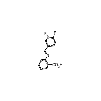 O=C(O)c1ccccc1N=Cc1ccc(F)c(F)c1